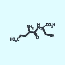 NC(CCC(=O)O)C(=O)N[C@@H](CS)C(=O)O